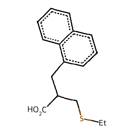 CCSCC(Cc1cccc2ccccc12)C(=O)O